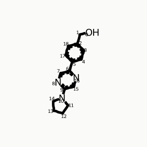 OCc1ccc(-c2cnc(N3CCCC3)cn2)cc1